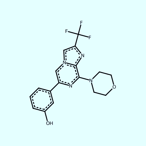 Oc1cccc(-c2cn3cc(C(F)(F)F)nc3c(N3CCOCC3)n2)c1